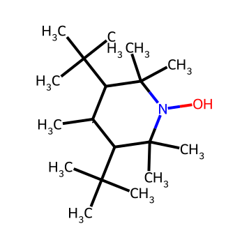 C[C]1C(C(C)(C)C)C(C)(C)N(O)C(C)(C)C1C(C)(C)C